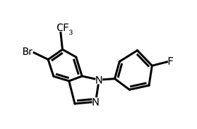 Fc1ccc(-n2ncc3cc(Br)c(C(F)(F)F)cc32)cc1